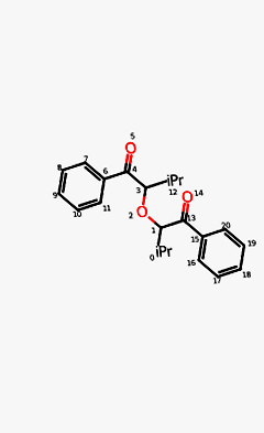 CC(C)C(OC(C(=O)c1ccccc1)C(C)C)C(=O)c1ccccc1